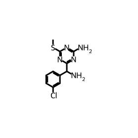 CSc1nc(N)nc(C(N)c2cccc(Cl)c2)n1